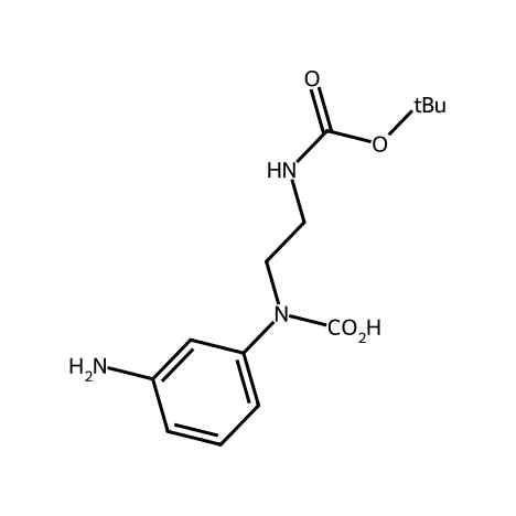 CC(C)(C)OC(=O)NCCN(C(=O)O)c1cccc(N)c1